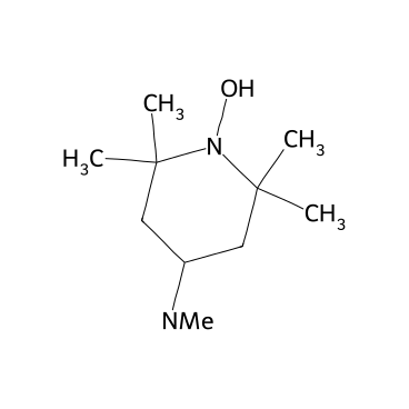 CNC1CC(C)(C)N(O)C(C)(C)C1